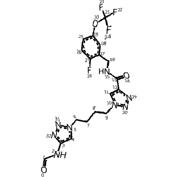 O=CNc1cn(CCCCn2cc(C(=O)NCc3cc(OC(F)(F)F)ccc3F)nn2)nn1